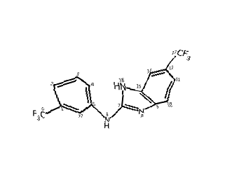 FC(F)(F)c1cccc(Nc2nc3ccc(C(F)(F)F)cc3[nH]2)c1